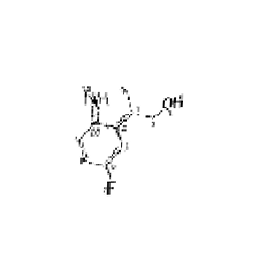 C/C(CO)=C1/C=C(F)C=CC1=N